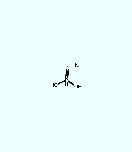 O=[PH](O)O.[N]